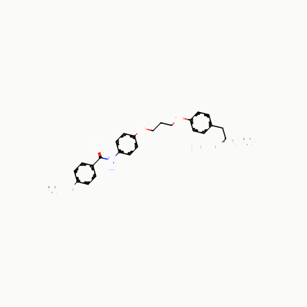 COc1ccc(C(=O)Nc2ccc(OCCCOc3ccc(C[C@H](OC)C(=O)O)cc3)cc2)cc1